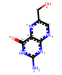 Nc1nc2ncc(CO)nc2c(=O)[nH]1